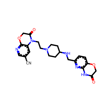 N#Cc1cnc2c(c1)N(CCN1CCC(NCc3ccc4c(n3)NC(=O)CO4)CC1)C(=O)CO2